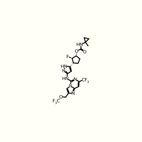 CC1(NC(=O)O[C@@H]2CC[C@H](c3cc(Nc4nc(C(F)(F)F)cc5nc(COC(F)(F)F)cn45)n[nH]3)[C@H]2F)CC1